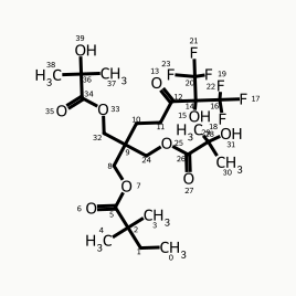 CCC(C)(C)C(=O)OCC(CCC(=O)C(O)(C(F)(F)F)C(F)(F)F)(COC(=O)C(C)(C)O)COC(=O)C(C)(C)O